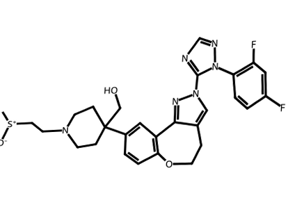 C[S+]([O-])CCN1CCC(CO)(c2ccc3c(c2)-c2nn(-c4ncnn4-c4ccc(F)cc4F)cc2CCO3)CC1